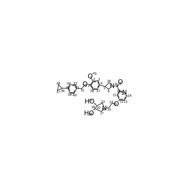 COc1cc(C2CN(C(=O)c3cc(OCCN4C[C@@H](O)[C@@H](O)C4)ccn3)C2)ccc1OCc1ccc(C2CC2)cc1